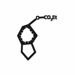 CCOC(=O)Oc1ccc2c(c1)CCC2